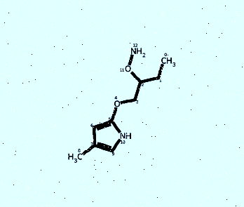 CCC(COc1cc(C)c[nH]1)ON